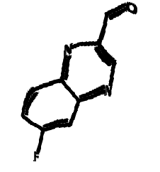 O=Cc1cnc2cc(F)ccc2n1